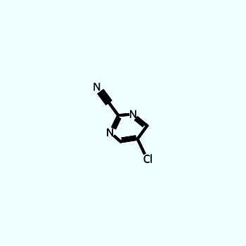 N#Cc1ncc(Cl)cn1